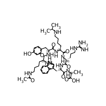 CC(=O)NCCCC[C@H](N)C(=O)N[C@@H](Cc1ccc(O)cc1)C(=O)N[C@@H](CCCCNC(C)C)C(=O)N[C@H](CCCNC(=N)N)C(=O)N[C@@H](Cc1c[nH]c2ccccc12)C(=O)N[C@H](C)C(=O)O